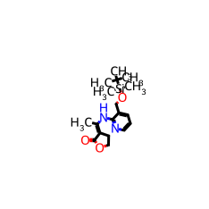 CC(Nc1ncccc1CO[Si](C)(C)C(C)(C)C)=C1CCOC1=O